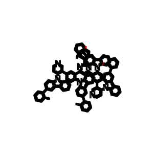 Cc1ccccc1-c1ccc2c(c1)c1ccccc1n2-c1ccncc1-c1ccc(-n2c3ccccc3c3cc(-c4ccccc4C)ccc32)c(-c2cc(-c3cc(-c4cnccc4-n4c5ccccc5c5cc(-c6ccccc6C)ccc54)ccc3-n3c4ccccc4c4cc(-c5ccccc5C)ccc43)nc(-c3ccccc3)n2)c1